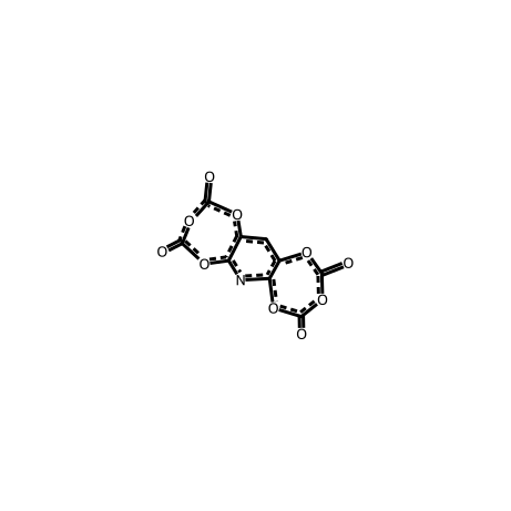 O=c1oc(=O)oc2nc3oc(=O)oc(=O)oc3cc2o1